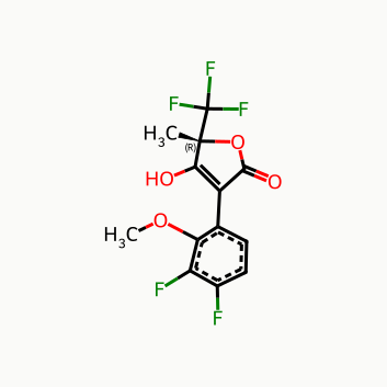 COc1c(C2=C(O)[C@](C)(C(F)(F)F)OC2=O)ccc(F)c1F